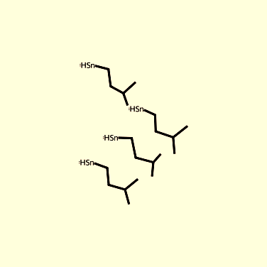 CC(C)C[CH2][SnH].CC(C)C[CH2][SnH].CC(C)C[CH2][SnH].CC(C)C[CH2][SnH]